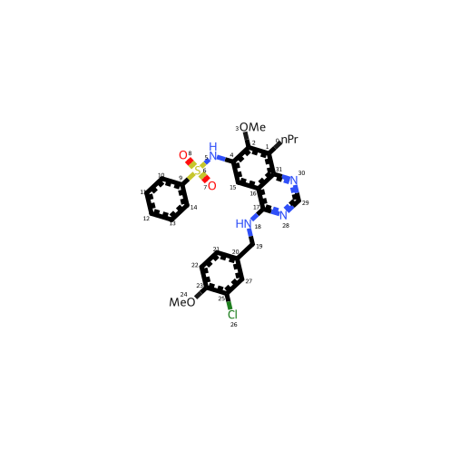 CCCc1c(OC)c(NS(=O)(=O)c2ccccc2)cc2c(NCc3ccc(OC)c(Cl)c3)ncnc12